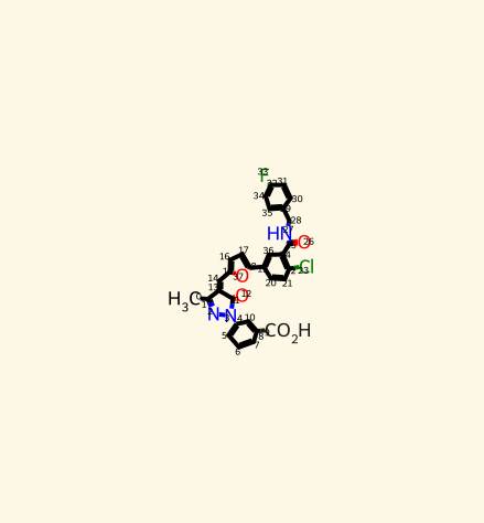 CC1=NN(c2cccc(C(=O)O)c2)C(=O)C1=Cc1ccc(-c2ccc(Cl)c(C(=O)NCc3ccc(F)cc3)c2)o1